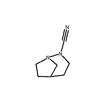 N#CN1CCC2CCN1C2